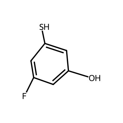 Oc1cc(F)cc(S)c1